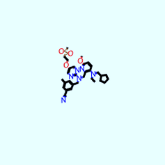 CCN(CC1CCCC1)c1ccc(OC)nc1CN(Cc1cc(C)cc(C#N)c1)c1ncc(OCCS(C)(=O)=O)cn1